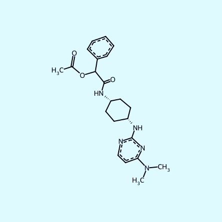 CC(=O)OC(C(=O)N[C@H]1CC[C@@H](Nc2nccc(N(C)C)n2)CC1)c1ccccc1